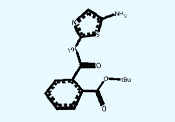 CC(C)(C)OC(=O)c1ccccc1C(=O)Nc1ncc(N)s1